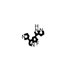 Fc1cc(-c2c[nH]c3ncccc23)cc2c(-c3cccnc3)ccnc12